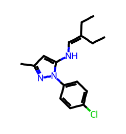 CCC(=CNc1cc(C)nn1-c1ccc(Cl)cc1)CC